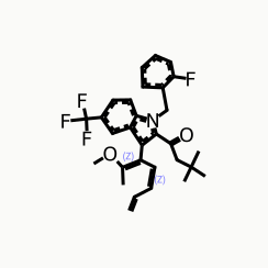 C=C/C=C\C(=C(/C)OC)c1c(C(=O)CC(C)(C)C)n(Cc2ccccc2F)c2ccc(C(F)(F)F)cc12